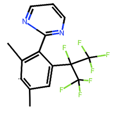 Cc1[c]c(C)c(-c2ncccn2)c(C(F)(C(F)(F)F)C(F)(F)F)c1